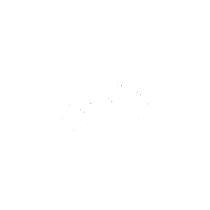 O=C(Cn1cnc2c1COCN2)N1CCCC1